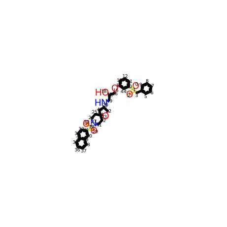 O=S(=O)(Cc1ccccc1)c1cccc(OC[C@@H](O)CNC2COC3(CCN(S(=O)(=O)c4ccc5ccccc5c4)CC3)C2)c1